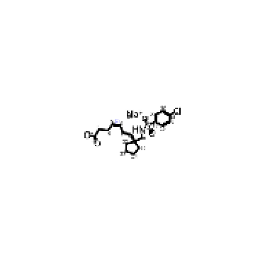 O=C([O-])CC/C=C\CCC1(CNS(=O)(=O)c2ccc(Cl)cc2)CCCC1.[Na+]